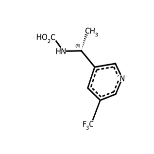 C[C@@H](NC(=O)O)c1cncc(C(F)(F)F)c1